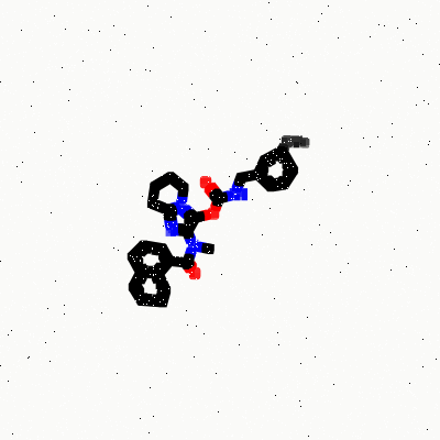 COc1cccc(CNC(=O)Oc2c(N(C)C(=O)c3cccc4ccccc34)nc3n2CCCC3)c1